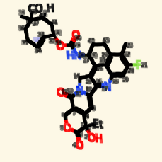 CC[C@@]1(O)C(=O)OCc2c1cc1n(c2=O)Cc2c-1nc1cc(F)c(C)c3c1c2[C@@H](NC(=O)O[C@H]1/C=C/CC[C@@](C)(C(=O)O)CC1)CC3